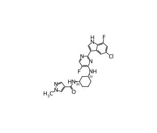 Cn1cc(C(=O)N[C@@H]2CCC[C@H](Nc3nc(-c4c[nH]c5c(F)cc(Cl)cc45)ncc3F)C2)cn1